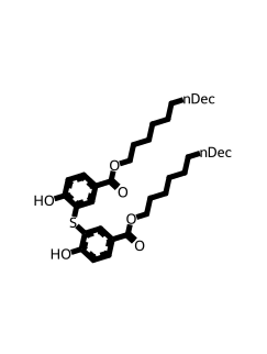 CCCCCCCCCCCCCCCCOC(=O)c1ccc(O)c(Sc2cc(C(=O)OCCCCCCCCCCCCCCCC)ccc2O)c1